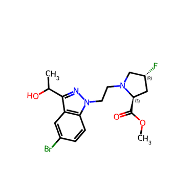 COC(=O)[C@@H]1C[C@@H](F)CN1CCn1nc(C(C)O)c2cc(Br)ccc21